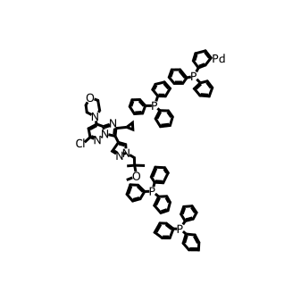 COC(C)(C)Cn1cc(-c2c(C3CC3)nc3c(N4CCOCC4)cc(Cl)nn23)cn1.[Pd].c1ccc(P(c2ccccc2)c2ccccc2)cc1.c1ccc(P(c2ccccc2)c2ccccc2)cc1.c1ccc(P(c2ccccc2)c2ccccc2)cc1.c1ccc(P(c2ccccc2)c2ccccc2)cc1